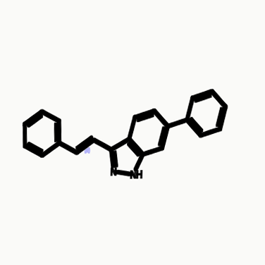 C(=C\c1n[nH]c2cc(-c3ccccc3)ccc12)/c1ccccc1